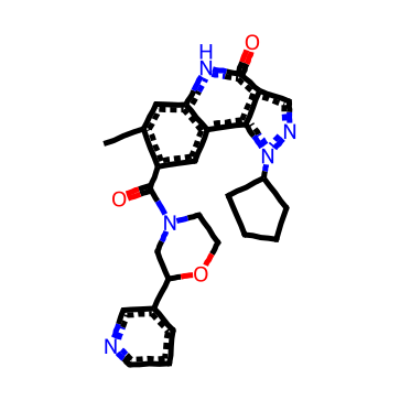 Cc1cc2[nH]c(=O)c3cnn(C4CCCC4)c3c2cc1C(=O)N1CCOC(c2cccnc2)C1